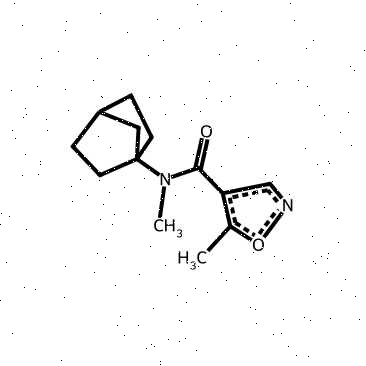 Cc1oncc1C(=O)N(C)C12CCC(CC1)C2